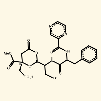 COC(=O)[C@]1(CC(=O)O)CC(=O)OB(C(CC(C)C)NC(=O)C(Cc2ccccc2)NC(=O)c2cnccn2)O1